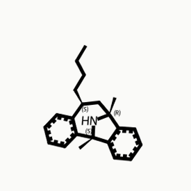 CCCC[C@H]1C[C@@]2(C)N[C@@](C)(c3ccccc31)c1ccccc12